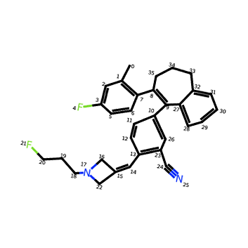 Cc1cc(F)ccc1C1=C(c2ccc(C=C3CN(CCCF)C3)c(C#N)c2)c2ccccc2CCC1